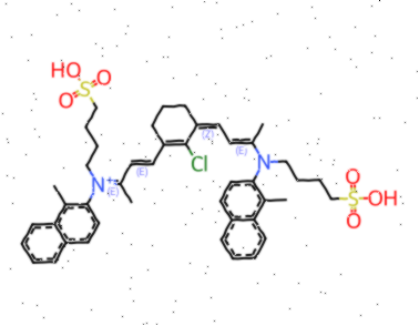 C/C(=C\C=C1\CCCC(/C=C/C(C)=[N+](\CCCCS(=O)(=O)O)c2ccc3ccccc3c2C)=C1Cl)N(CCCCS(=O)(=O)O)c1ccc2ccccc2c1C